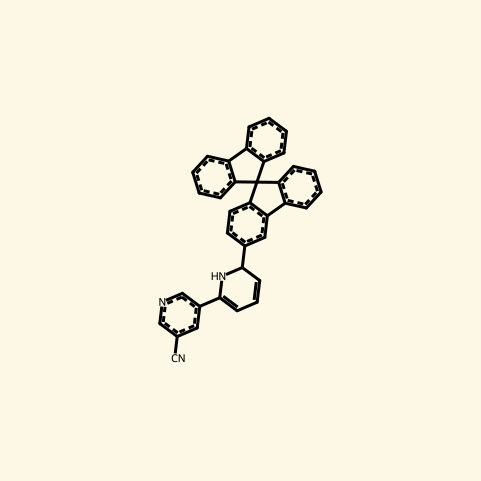 N#Cc1cncc(C2=CC=CC(c3ccc4c(c3)-c3ccccc3C43c4ccccc4-c4ccccc43)N2)c1